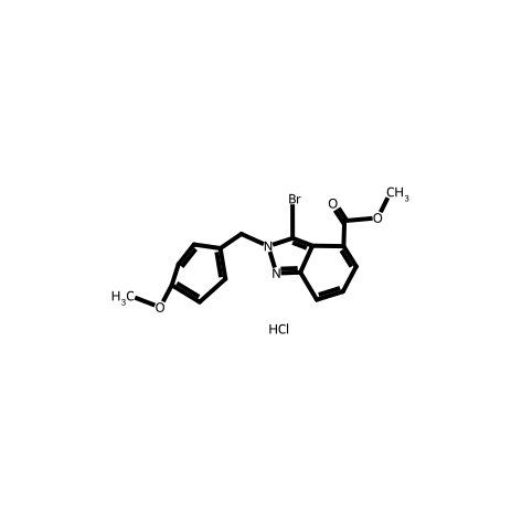 COC(=O)c1cccc2nn(Cc3ccc(OC)cc3)c(Br)c12.Cl